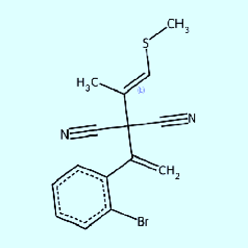 C=C(c1ccccc1Br)C(C#N)(C#N)/C(C)=C/SC